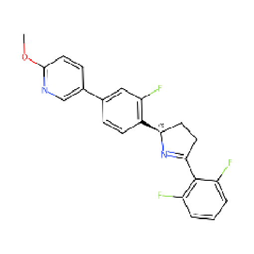 COc1ccc(-c2ccc([C@H]3CCC(c4c(F)cccc4F)=N3)c(F)c2)cn1